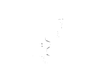 CCCN(CCC)C(=O)c1ccc(F)c(S(=O)(=O)NCCN2CC2)c1